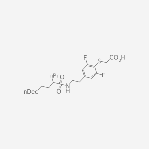 CCCCCCCCCCCCC(CCC)S(=O)(=O)NCCc1cc(F)c(SCC(=O)O)c(F)c1